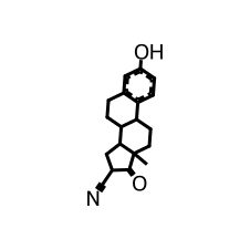 CC12CCC3c4ccc(O)cc4CCC3C1CC(C#N)C2=O